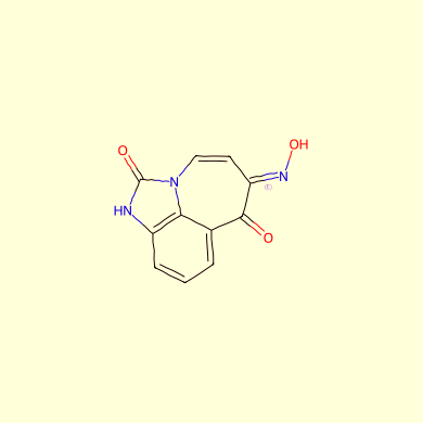 O=c1/c(=N/O)ccn2c(=O)[nH]c3cccc1c32